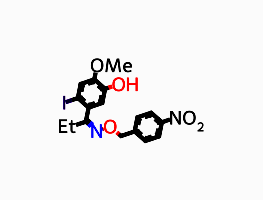 CCC(=NOCc1ccc([N+](=O)[O-])cc1)c1cc(O)c(OC)cc1I